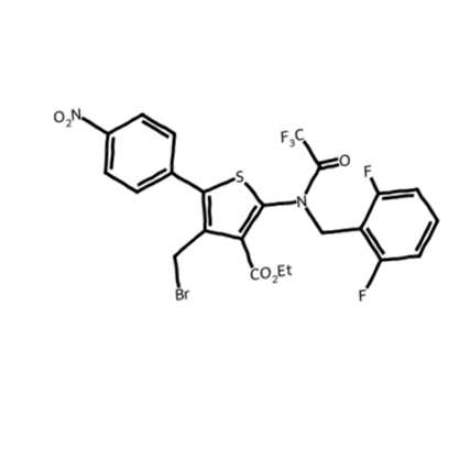 CCOC(=O)c1c(N(Cc2c(F)cccc2F)C(=O)C(F)(F)F)sc(-c2ccc([N+](=O)[O-])cc2)c1CBr